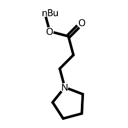 CCCCOC(=O)CCN1CCCC1